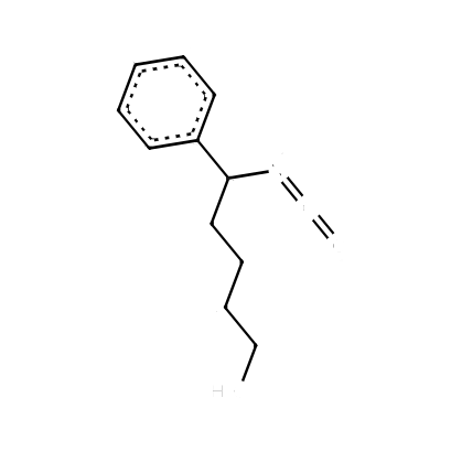 CCCCCC(N=C=O)c1[c]cccc1